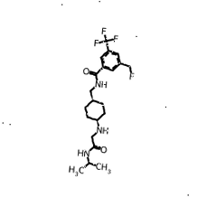 CC(C)NC(=O)CN[C@H]1CC[C@@H](CNC(=O)c2cc(CF)cc(C(F)(F)F)c2)CC1